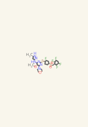 COc1c(Nc2cc(C)[nH]n2)nc(Sc2ccc(S(=O)(=O)Cc3c(F)c(F)cc(F)c3F)cc2F)nc1N1CCOCC1